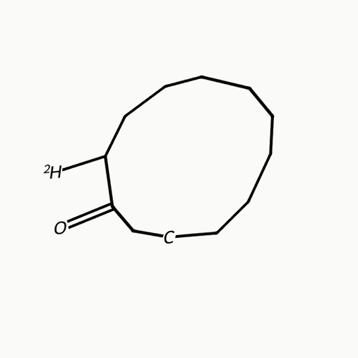 [2H]C1CCCCCCCCCCC1=O